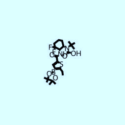 CCc1sc(C(=O)N[C@@H]2[C@H](N(C(=O)O)C(C)(C)C)CCCC2(F)F)cc1B1OC(C)(C)C(C)(C)O1